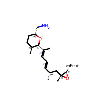 CCC[C@@H](C)[C@H]1O[C@]1(C)C[C@H](C)/C=C/C=C(\C)[C@H]1O[C@@H](CN)CC[C@@H]1C